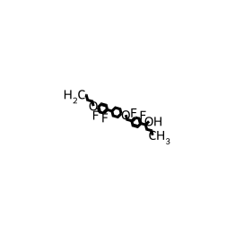 C=CCCOc1ccc(C2CCC(OCc3ccc(C(O)CCC)c(F)c3F)CC2)c(F)c1F